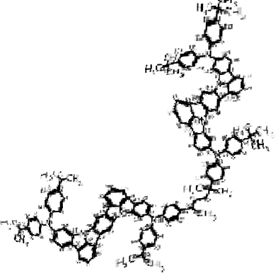 CC(C)c1ccc(N(c2ccc(C(C)C)cc2)c2ccc3c4cccc5c6cc7c(cc6n(c3c2)c45)c2cccc3c4ccc(N(c5ccc(C(C)C)cc5)c5ccc(C(C)CCC(C)(C)c6ccc(N(c8ccc(C(C)(C)C)cc8)c8ccc9c%10cccc%11c%12cc%13c(cc%12n(c9c8)c%10%11)c8cccc9c%10ccc(N(c%11ccc(C(C)(C)C)cc%11)c%11ccc(C(C)(C)C)cc%11)cc%10n%13c98)cc6)cc5)cc4n7c32)cc1